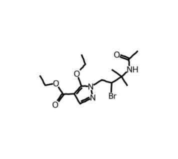 CCOC(=O)c1cnn(CC(Br)C(C)(C)NC(C)=O)c1OCC